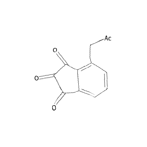 CC(=O)Cc1cccc2c(=O)c(=O)c(=O)c12